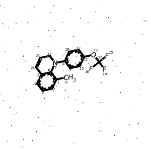 Cc1cccc2c1N(c1ccc(OC(F)(F)F)cc1)CC=C2